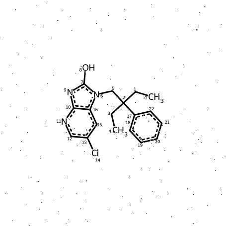 CCC(CC)(Cn1c(O)nc2ncc(Cl)cc21)c1ccccc1